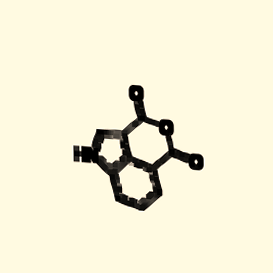 O=C1OC(=O)c2c[nH]c3cccc1c23